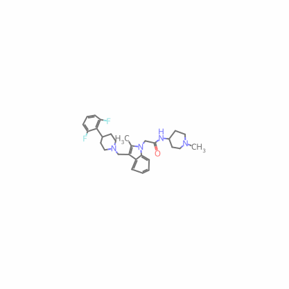 Cc1c(CN2CCC(c3c(F)cccc3F)CC2)c2ccccc2n1CC(=O)NC1CCN(C)CC1